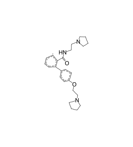 O=C(NCCN1CCCC1)c1[c]cccc1-c1ccc(OCCN2CCCC2)cc1